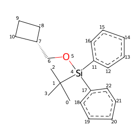 CC(C)(C)[Si](OC[C@H]1[CH]CC1)(c1ccccc1)c1ccccc1